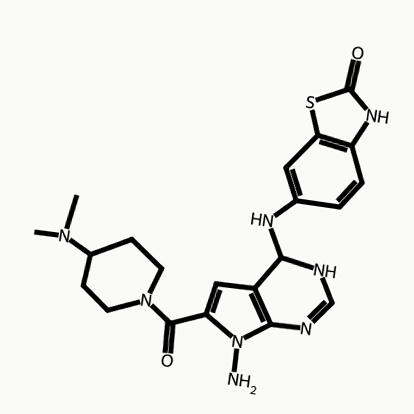 CN(C)C1CCN(C(=O)c2cc3c(n2N)N=CNC3Nc2ccc3[nH]c(=O)sc3c2)CC1